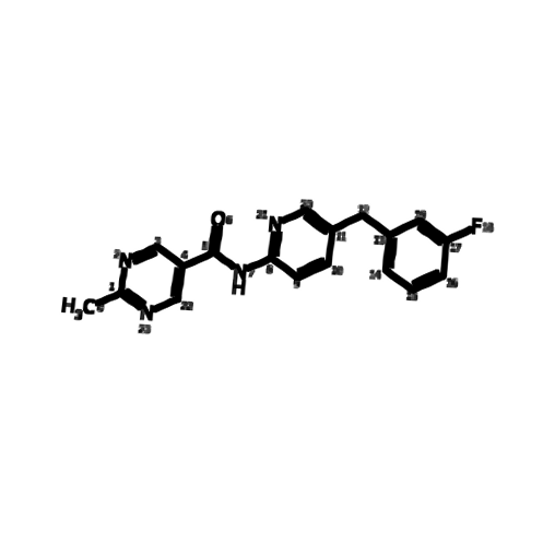 Cc1ncc(C(=O)Nc2ccc(Cc3cccc(F)c3)cn2)cn1